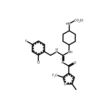 CCOC(=O)NC1CCC(N/C(=N\C(=O)c2cc(C)oc2C(F)(F)F)NCc2ccc(F)cc2Cl)CC1